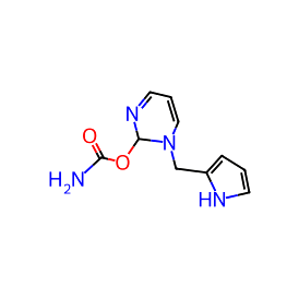 NC(=O)OC1N=CC=CN1Cc1ccc[nH]1